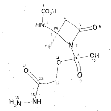 C[C@]1(NC(=O)O)CC(=O)N1P(=O)(O)OCC(=O)NN